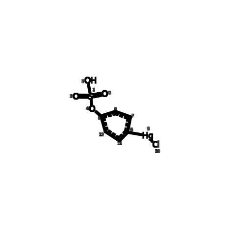 O=S(=O)(O)Oc1cc[c]([Hg][Cl])cc1